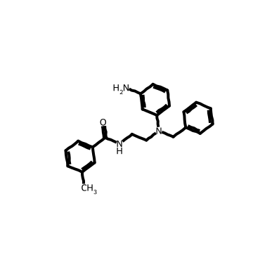 Cc1cccc(C(=O)NCCN(Cc2ccccc2)c2cccc(N)c2)c1